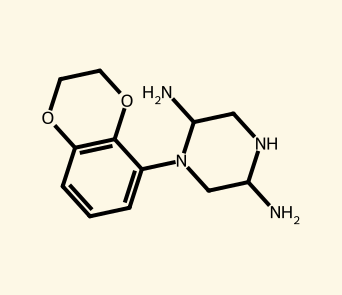 NC1CN(c2cccc3c2OCCO3)C(N)CN1